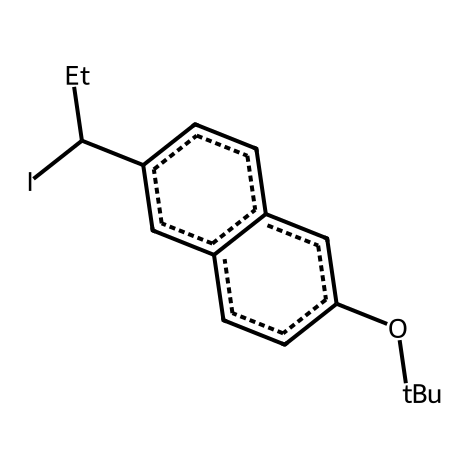 CCC(I)c1ccc2cc(OC(C)(C)C)ccc2c1